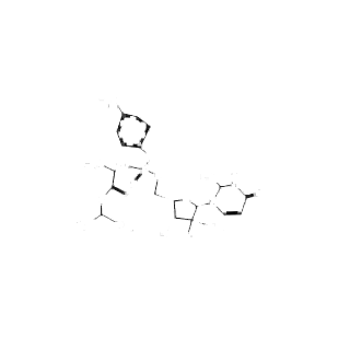 Cc1ccc(OP(=S)(NC(C)C(=O)OC(C)C)OC[C@H]2O[C@@H](N3C=CC(=O)NC3O)[C@](C)(O)[C@@H]2O)cc1